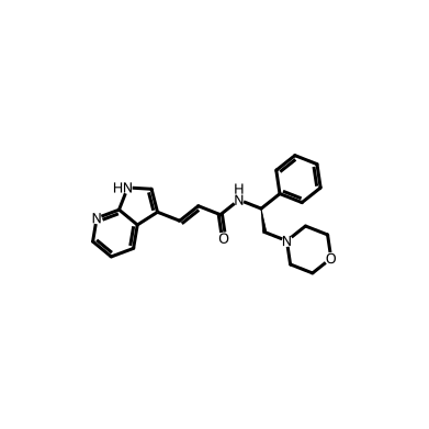 O=C(/C=C/c1c[nH]c2ncccc12)N[C@H](CN1CCOCC1)c1ccccc1